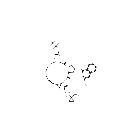 COc1cc2ccccc2c(O[C@@H]2C[C@H]3C(=O)N[C@]4(C(=O)NS(=O)(=O)C5(CF)CC5)C[C@H]4/C=C\CC[C@H](C)C[C@@H](C)[C@H](NC(=O)OC(C)(C)C(C)(F)F)C(=O)N3C2)n1